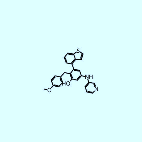 COc1ccc(Cc2c(O)cc(Nc3cccnc3)cc2-c2cccc3sccc23)cc1